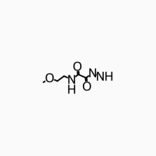 COCCNC(=O)C(=O)N=N